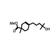 COC(=O)C1(C)CC=C(CCCC(C)(C)O)CC1